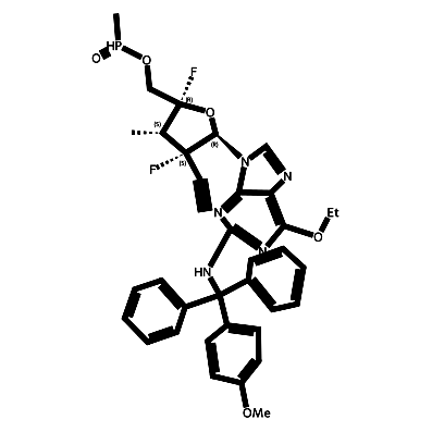 C#C[C@]1(F)[C@H](n2cnc3c(OCC)nc(NC(c4ccccc4)(c4ccccc4)c4ccc(OC)cc4)nc32)O[C@](F)(CO[PH](C)=O)[C@H]1C